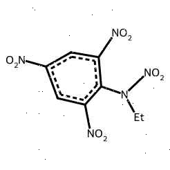 CCN(c1c([N+](=O)[O-])cc([N+](=O)[O-])cc1[N+](=O)[O-])[N+](=O)[O-]